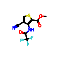 COC(=O)c1scc(C#N)c1NC(=O)C(F)(F)F